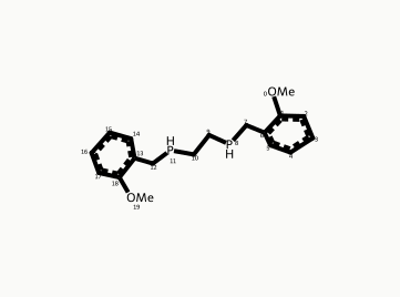 COc1ccccc1CPCCPCc1ccccc1OC